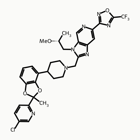 CO[C@H](C)Cn1c(CN2CCC(c3cccc4c3OC(C)(c3ccc(Cl)cn3)O4)CC2)nc2cc(-c3noc(C(F)(F)F)n3)ncc21